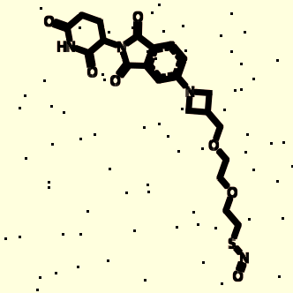 O=NSCCOCCOCC1CN(c2ccc3c(c2)C(=O)N(C2CCC(=O)NC2=O)C3=O)C1